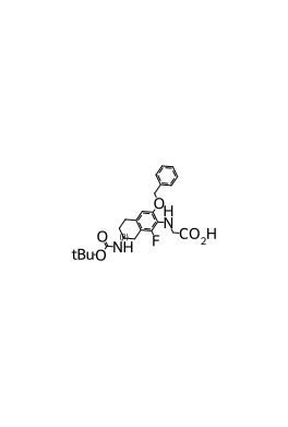 CC(C)(C)OC(=O)N[C@@H]1CCc2cc(OCc3ccccc3)c(NCC(=O)O)c(F)c2C1